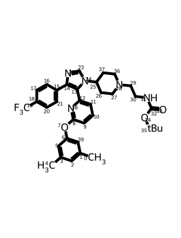 Cc1cc(C)cc(Oc2cccc(-c3c(-c4ccc(C(F)(F)F)cc4)ncn3C3CCN(CCNC(=O)OC(C)(C)C)CC3)n2)c1